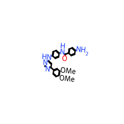 COc1ccc(-c2cc(Nc3ccc(NC(=O)c4ccc(N)cc4)cc3)ncn2)cc1OC